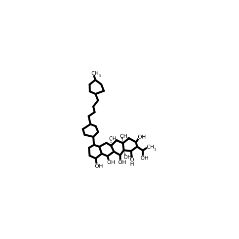 CC1CCC(CCCCC2CCC(C3CCC(O)C4C(O)C5C(O)[C@]6(O)C(O)C(C(C)O)C(O)C[C@]6(C)C[C@]5(C)CC34)CC2)CC1